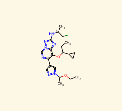 CCOC(C)n1cc(-c2ncn3nc(N[C@@H](C)CF)nc3c2OC(CC)C2CC2)cn1